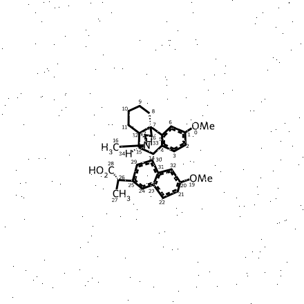 COc1ccc2c(c1)[C@]13CCCC[C@@H]1[C@H](C2)N(C)CC3.COc1ccc2cc([C@H](C)C(=O)O)ccc2c1